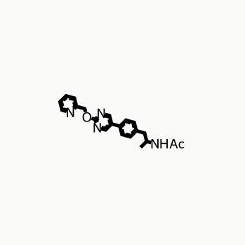 CC(=O)NC(C)Cc1ccc(-c2cnc(OCc3ccccn3)nc2)cc1